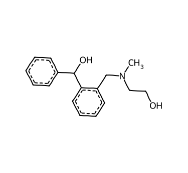 CN(CCO)Cc1ccccc1C(O)c1ccccc1